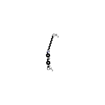 CCCCCCCCCCCC/N=C/c1ccc(OCc2ccc(OCC)cc2)cc1